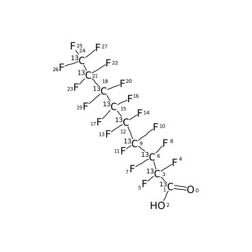 O=[13C](O)[13C](F)(F)[13C](F)(F)[13C](F)(F)[13C](F)(F)[13C](F)(F)[13C](F)(F)[13C](F)(F)[13C](F)(F)F